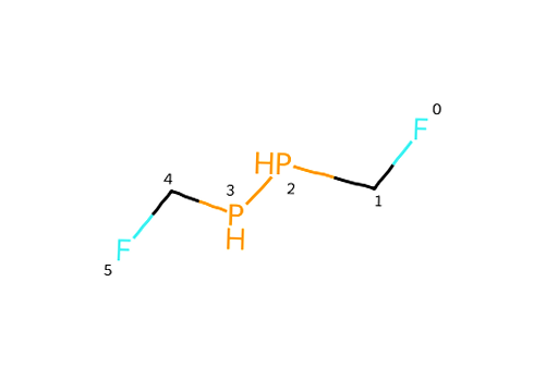 FCPPCF